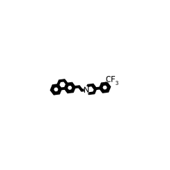 FC(F)(F)c1cccc(C2=CCN(CCc3ccc4c(c3)CCc3ccccc3-4)CC2)c1